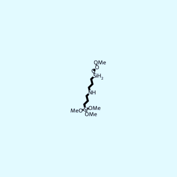 COOO[SiH2]CCCNCCC[Si](OC)(OC)OC